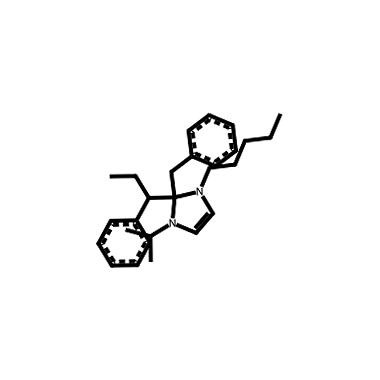 CCCCCN1C=CN(C(C)C)C1(Cc1ccccc1)C(CC)c1ccccc1